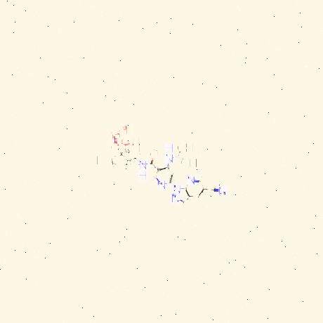 CC(C)Nc1cc(-n2ncc3cc(C#N)cnc32)ncc1C(=O)NCC(F)C(C)(C)OP(=O)(O)O